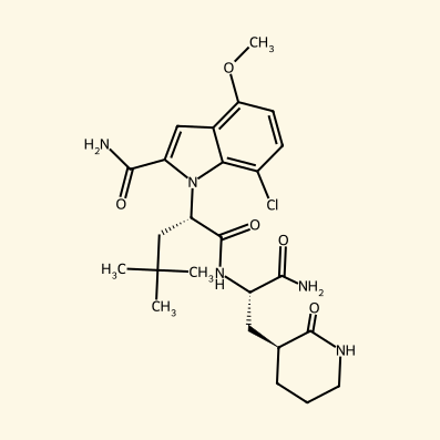 COc1ccc(Cl)c2c1cc(C(N)=O)n2[C@@H](CC(C)(C)C)C(=O)N[C@@H](C[C@@H]1CCCNC1=O)C(N)=O